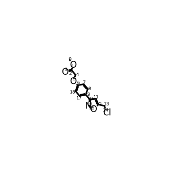 COC(=O)COc1ccc(-c2cc(CCl)on2)cc1